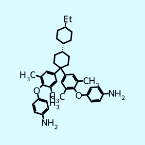 CC[C@H]1CC[C@H](C2CCC(c3cc(C)c(Oc4ccc(N)cc4)c(C)c3)(c3cc(C)c(Oc4ccc(N)cc4)c(C)c3)CC2)CC1